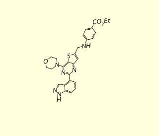 CCOC(=O)c1ccc(NCc2cc3nc(-c4cccc5[nH]ncc45)nc(N4CCOCC4)c3s2)cc1